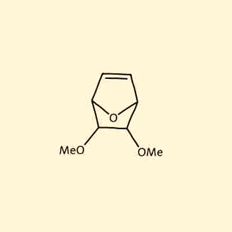 COC1C2C=CC(O2)C1OC